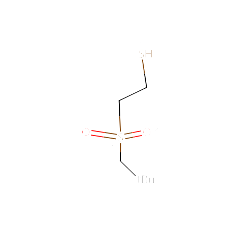 CC(C)(C)CS(=O)(=O)CCS